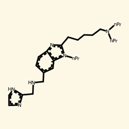 CCCN(CCC)CCCCCc1nc2ccc(CNCc3ncc[nH]3)cc2n1CCC